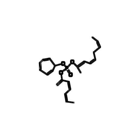 C=C(/C=C\C=C/C)OP(=O)(O/C(C)=C/C=C\C/C=C\C)OC1C=CC=CC=C1